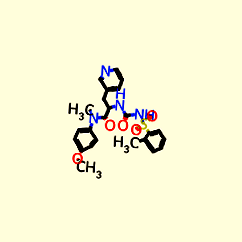 COc1ccc(N(C)C(=O)C(Cc2cccnc2)NC(=O)NS(=O)(=O)c2ccccc2C)cc1